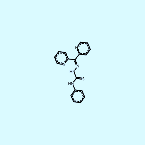 S=C(NN=C(c1ccccn1)c1ccccn1)Nc1ccccc1